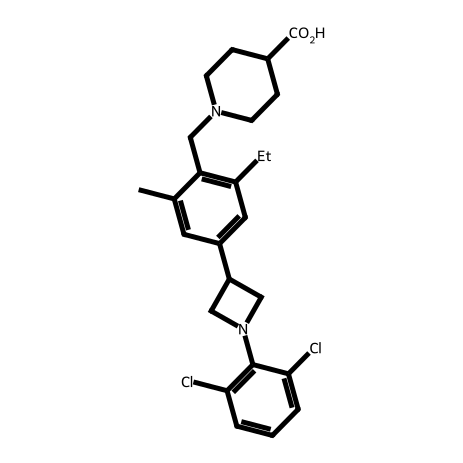 CCc1cc(C2CN(c3c(Cl)cccc3Cl)C2)cc(C)c1CN1CCC(C(=O)O)CC1